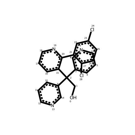 OCC(c1cccnc1)(c1cccnc1)c1cccnc1-c1cc(Cl)ccc1Cl